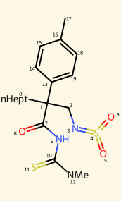 CCCCCCCC(CN=S(=O)=O)(C(=O)NC(=S)NC)c1ccc(C)cc1